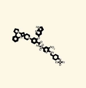 CCc1ccccc1C1CCCN1C1CC2(CCN(c3ccc(C(=O)NS(=O)(=O)c4cnc(NCC5CCC(N=S(=O)(CC)CC)CC5)c([N+](=O)[O-])c4)c(Oc4cnc5[nH]ccc5c4)c3)CC2)C1